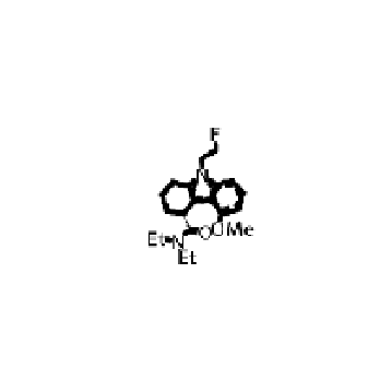 CCN(CC)C(=O)[C@@H]1CCCc2c1c1c(OC)cccc1n2CCF